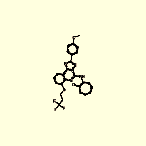 COc1ccc(-c2nc3c4cccc(OCCC(F)(F)F)c4nc(Nc4ccccnc4=O)n3n2)cc1